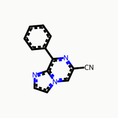 N#Cc1cn2ccnc2c(-c2ccccc2)n1